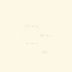 COC1CCN(C)C(=O)N1C